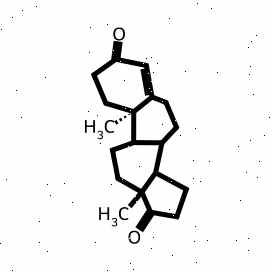 CC12CCC3C(CCC4=CC(=O)CC[C@@]43C)C1CCC2=O